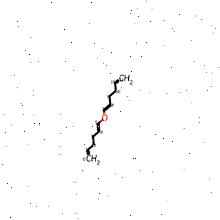 C=CCCC=COC=CCCC=C